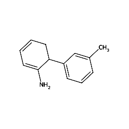 Cc1cccc(C2CC=CC=C2N)c1